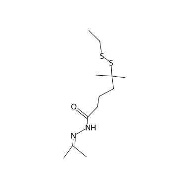 CCSSC(C)(C)CCCC(=O)NN=C(C)C